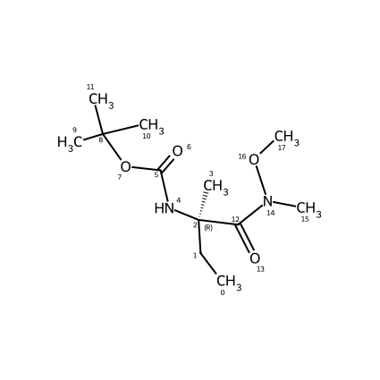 CC[C@@](C)(NC(=O)OC(C)(C)C)C(=O)N(C)OC